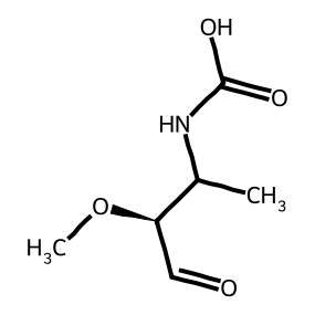 CO[C@H](C=O)C(C)NC(=O)O